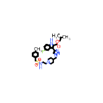 Cc1ccc(CS(=O)(=O)NCCN2CCC(Cn3cc(-c4c(C(=O)OCC(C)C)[nH]c5ccc(F)cc45)nn3)CC2)cc1